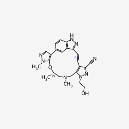 C[C@H]1CN(C)Cc2c(c(C#N)nn2CCO)/C=C/c2n[nH]c3ccc(cc23)-c2cnn(C)c2O1